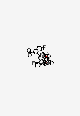 COC(=O)c1cc(-c2cc3c(C(F)(F)F)c(C)nc4c3c(n2)OC(C)C2C3CCC(CN42)N3C(=O)O)c2c(C#C[Si](C(C)C)(C(C)C)C(C)C)c(F)ccc2c1